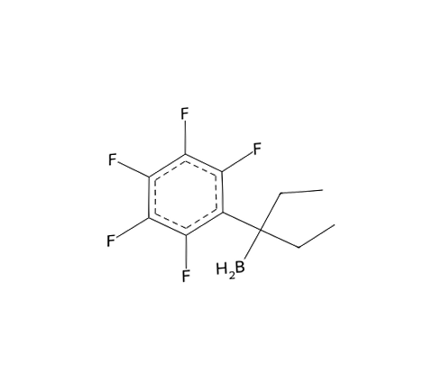 BC(CC)(CC)c1c(F)c(F)c(F)c(F)c1F